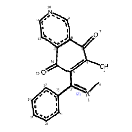 C/N=C(\C1=C(O)C(=O)c2cnccc2C1=O)c1ccccc1